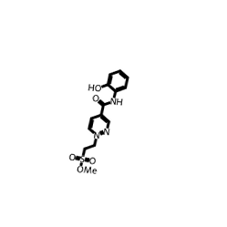 COS(=O)(=O)CC[n+]1ccc(C(=O)Nc2ccccc2O)cn1